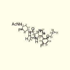 CC(=O)N[C@@H]1CC[C@H](NC(=O)c2c(C)[nH]c3c(-c4cc(F)ccc4OCC4CC4)ncnc23)C[C@H]1F